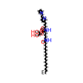 CCC=CCC=CCC=CCC=CCC=CCCCC(=O)NCCCC[C@H](NC(=O)CC=Cc1ccc(CCN2CCCC2)nc1)C(=O)OC(CO)CO